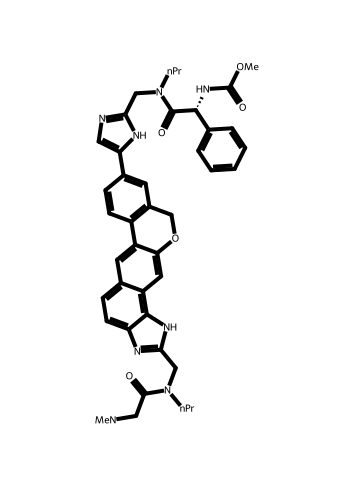 CCCN(Cc1nc2ccc3cc4c(cc3c2[nH]1)OCc1cc(-c2cnc(CN(CCC)C(=O)[C@H](NC(=O)OC)c3ccccc3)[nH]2)ccc1-4)C(=O)CNC